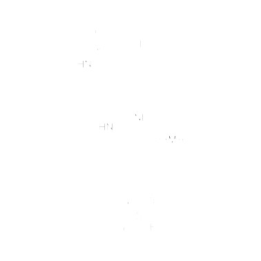 CCS(=O)(=O)Oc1ccc(C2Nc3cc4c(cc3N2)C(C)C(=O)N4)c(OC)c1